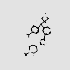 CC(=O)N1CC[C@H](c2nc(-c3cncc([C@@](O)(c4ccc(C(C)C)cc4)C4(C)CN(C)C4)c3)no2)C[C@@H]1C